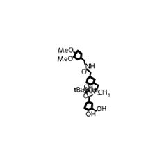 COc1ccc(CCNC(=O)Cc2cccc(C[C@@H](C)NC[C@H](O[Si](C)(C)C(C)(C)C)c3ccc(O)c(CO)c3)c2)cc1OC